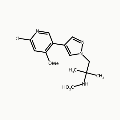 COc1cc(Cl)ncc1-c1cnn(CC(C)(C)NC(=O)O)c1